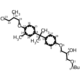 CCCCOC[C@H](O)COc1ccc(C(C)(C)c2ccc(OC[C@@H](C)CCl)c(C)c2)cc1